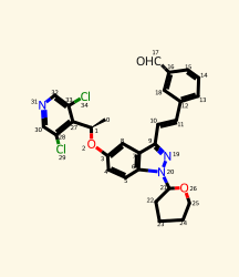 C[C@@H](Oc1ccc2c(c1)c(/C=C/c1cccc(C=O)c1)nn2C1CCCCO1)c1c(Cl)cncc1Cl